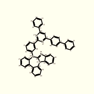 c1ccc(-c2ccc(-c3cc(-c4ccccc4)nc(-c4cccc(N5c6ccccc6-c6ccccc6-n6c5nc5ccccc56)c4)n3)cc2)cc1